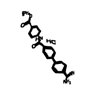 CC(C)OC(=O)[C@H]1CC[C@H](NC(=O)c2ccc(-c3ccc(C(=N)N)cc3)cc2)CC1.Cl